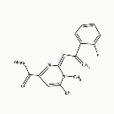 C=C(/C=C1/N=C(C(=O)CCCCCC)C=C(CC)N1C)c1ccccc1F